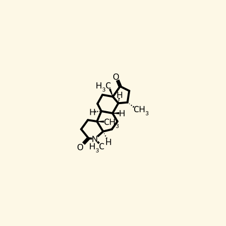 C[C@H]1CC(=O)[C@@]2(C)CC[C@H]3[C@@H](CC[C@H]4N(C)C(=O)CC[C@]34C)[C@H]12